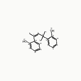 C/C(=C/C(C)(C)c1ccccc1O)c1ccccc1O